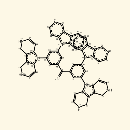 O=C(c1cc(-n2c3c(c4c2C=CNC4)CNC=C3)cc(-n2c3ccncc3c3cnccc32)c1)c1cc(-n2c3c(c4c2C=CNC4)CNC=C3)cc(-n2c3ccncc3c3cnccc32)c1